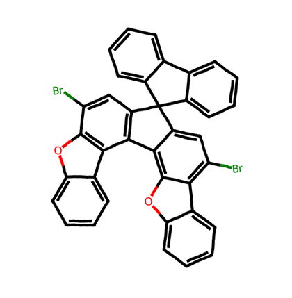 Brc1cc2c(c3c1oc1ccccc13)-c1c(cc(Br)c3c1oc1ccccc13)C21c2ccccc2-c2ccccc21